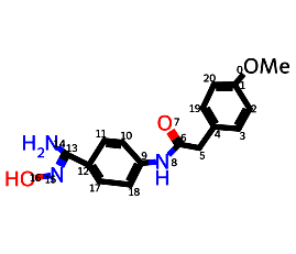 COc1ccc(CC(=O)Nc2ccc(/C(N)=N/O)cc2)cc1